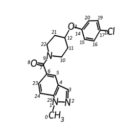 Cn1ncc2cc(C(=O)N3CCC(Oc4ccc(Cl)cc4)CC3)ccc21